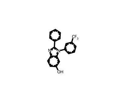 Oc1ccc2nc(-c3ccccc3)n(-c3cccc(C(F)(F)F)c3)c2c1